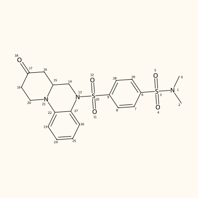 CN(C)S(=O)(=O)c1ccc(S(=O)(=O)N2CC3CC(=O)CCN3c3ccccc32)cc1